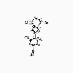 N#Cc1cc(Cl)c(-n2cc3c(Cl)ncc(Br)c3n2)c(Cl)c1